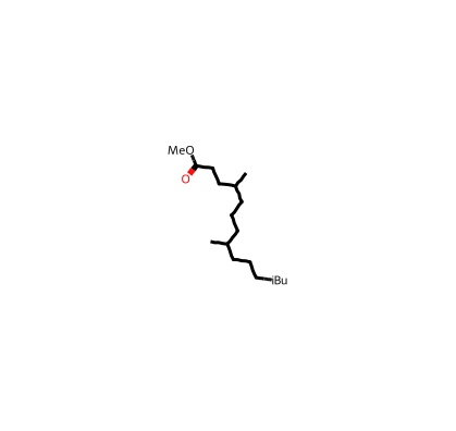 CCC(C)CCCC(C)CCCC(C)CCC(=O)OC